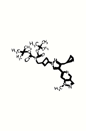 Cn1ncc2cnc(-c3cn(C4CC(CN(C(=O)OC(C)(C)C)C(=O)OC(C)(C)C)C4)nc3C3CC3)cc21